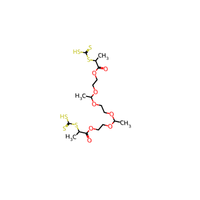 CC(OCCOC(=O)C(C)SC(=S)S)OCCOC(C)OCCOC(=O)C(C)SC(=S)S